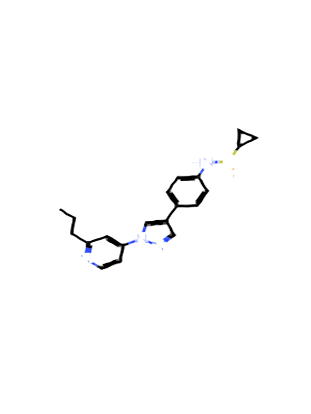 CCCc1cc(-n2cc(-c3ccc(N[S+]([O-])C4CC4)cc3)cn2)ccn1